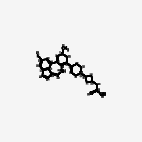 CN1C=C2C(=C(C3=CCN(C4CC(CC(=O)O)C4)CC3)C1)NN=C1C=Cc3cc(F)cc2c31